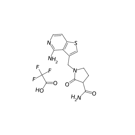 NC(=O)C1CCN(Cc2csc3ccnc(N)c23)C1=O.O=C(O)C(F)(F)F